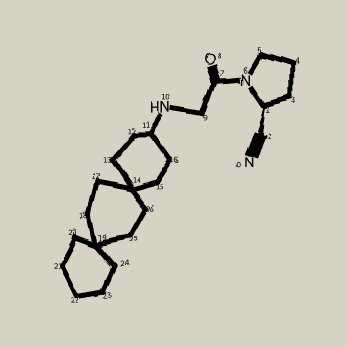 N#C[C@@H]1CCCN1C(=O)CNC1CCC2(CC1)CCC1(CCCCC1)CC2